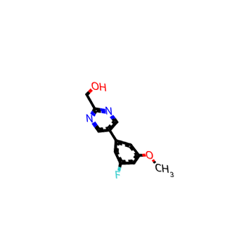 COc1cc(F)cc(-c2cnc(CO)nc2)c1